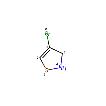 BrC1=CSN[CH]1